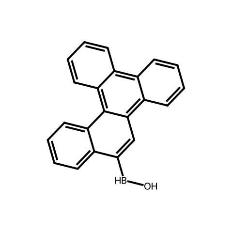 OBc1cc2c3ccccc3c3ccccc3c2c2ccccc12